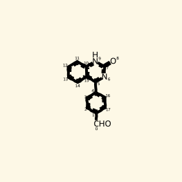 O=Cc1ccc(-c2nc(=O)[nH]c3ccccc23)cc1